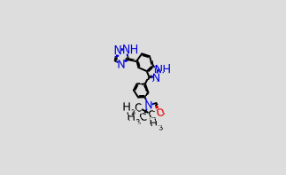 CC(C)(C)N(C=O)c1cccc(-c2n[nH]c3ccc(-c4ncn[nH]4)cc23)c1